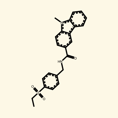 CCS(=O)(=O)c1ccc(CNC(=O)c2ccc3c(c2)c2ccccc2n3C)cc1